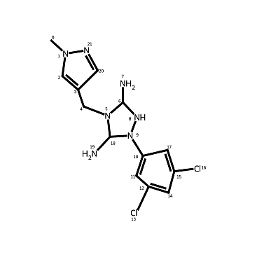 Cn1cc(CN2C(N)NN(c3cc(Cl)cc(Cl)c3)C2N)cn1